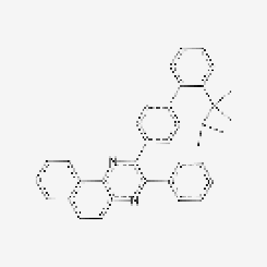 CC1(C)c2ccccc2-c2ccc(-c3nc4c(ccc5ccccc54)nc3-c3ccccc3)cc2C1(C)C